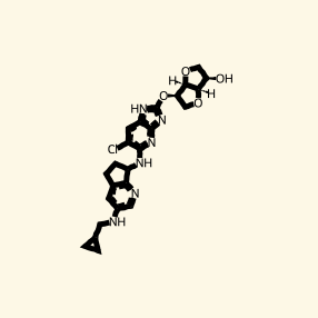 O[C@@H]1CO[C@H]2[C@@H]1OC[C@H]2Oc1nc2nc(NC3CCc4cc(NCC5CC5)cnc43)c(Cl)cc2[nH]1